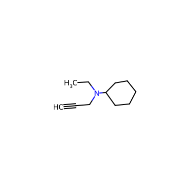 C#CCN(CC)C1CCCCC1